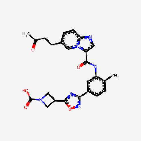 CC(=O)CCc1ccc2ncc(C(=O)Nc3cc(-c4noc(C5CN(C(=O)O)C5)n4)ccc3C)n2c1